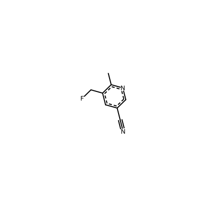 Cc1ncc(C#N)cc1CF